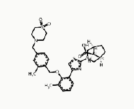 Cc1cc(CN2CCS(=O)(=O)CC2)ccc1COc1c(C)cccc1-c1csc(N2C[C@H]3CC[C@@H](C2)[C@H]3C(=O)O)n1